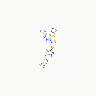 Cn1c(CC2CCS(=O)(=O)C2)nnc1OCC(=O)Nc1sc2c(c1C(N)=O)CCC2